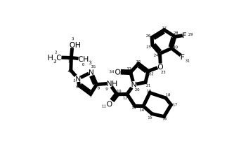 CC(C)(O)Cn1ccc(NC(=O)C(CC2CCCCC2)N2CC(Oc3cccc(F)c3F)=CC2=O)n1